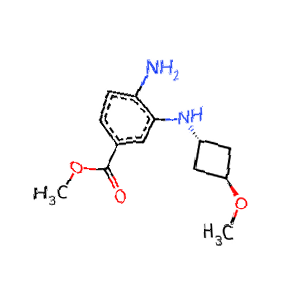 COC(=O)c1ccc(N)c(N[C@H]2C[C@H](OC)C2)c1